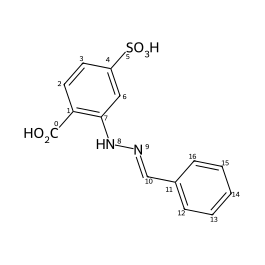 O=C(O)c1ccc(S(=O)(=O)O)cc1NN=Cc1ccccc1